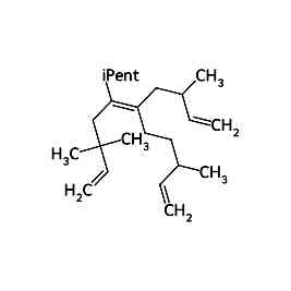 C=CC(C)CCC(CC(C)C=C)=C(CC(C)(C)C=C)C(C)CCC